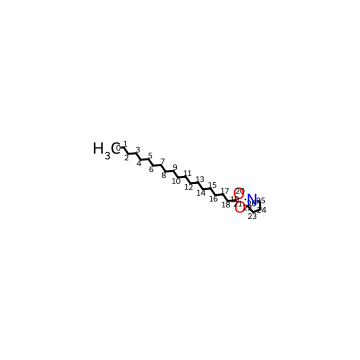 CCCCCCCCCCCCCCCCCCCC(=O)OC1CCC[N]1